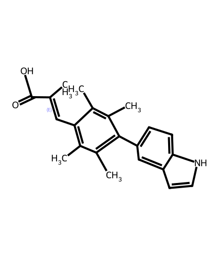 C/C(=C\c1c(C)c(C)c(-c2ccc3[nH]ccc3c2)c(C)c1C)C(=O)O